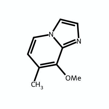 COc1c(C)ccn2ccnc12